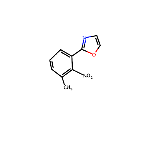 Cc1cccc(-c2ncco2)c1[N+](=O)[O-]